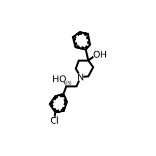 O[C@H](CN1CCC(O)(c2ccccc2)CC1)c1ccc(Cl)cc1